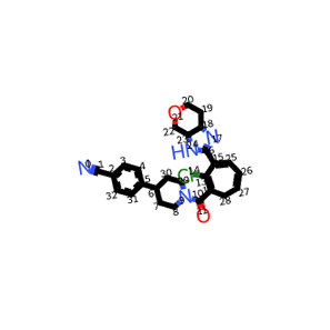 N#Cc1ccc(C2CCN(C(=O)C3=C(Cl)C(C4=NC5CCOCC5N4)=CC=CC3)CC2)cc1